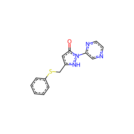 O=c1cc(CSc2ccccc2)[nH]n1-c1cnccn1